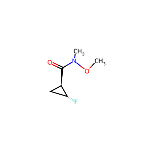 CON(C)C(=O)[C@@H]1C[C@H]1F